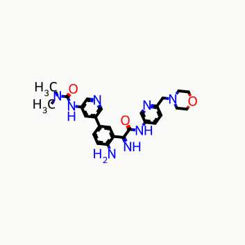 CN(C)C(=O)Nc1cncc(-c2ccc(N)c(C(=N)C(=O)Nc3ccc(CN4CCOCC4)nc3)c2)c1